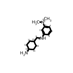 CN(C)c1cccc(NCC2CCC(N)CC2)c1